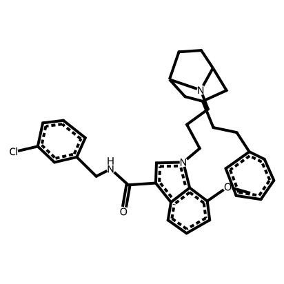 COc1cccc2c(C(=O)NCc3cccc(Cl)c3)cn(CCCN3C4CCC3CC(CCc3ccccc3)C4)c12